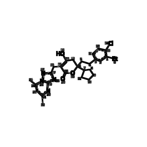 CCc1cc(CCC2(C3CCCC3)CC(O)=C(Cc3nc4nc(C)cc(C)n4n3)C(=O)O2)ccc1Cl